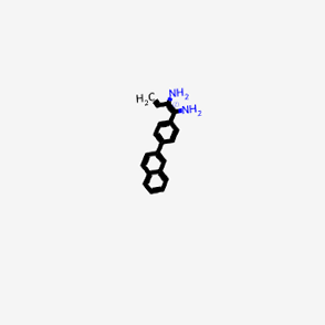 C=C/C(N)=C(/N)c1ccc(-c2ccc3ccccc3c2)cc1